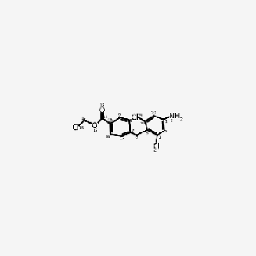 Nc1cc(Cl)c(Cc2ccc(C(=O)OCCl)cc2)c(Cl)c1